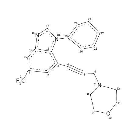 FC(F)(F)c1cc(C#CCN2CCOCC2)c2c(c1)ncn2-c1ccccc1